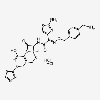 Cl.Cl.NCc1ccc(CO/N=C(/C(=O)NC2C(=O)N3C(C(=O)O)=C(CSc4nncs4)CS[C@H]23)c2csc(N)n2)cc1